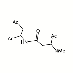 CNC(CC(=O)NC(CC(C)=O)C(C)=O)C(C)=O